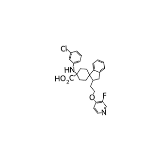 O=C(O)C1(Nc2cccc(Cl)c2)CCC2(CC1)c1ccccc1CC2CCOc1ccncc1F